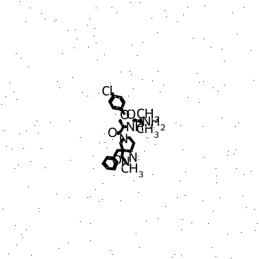 CN1N=C2CCN(C(=O)C(COc3ccc(Cl)cc3)NC(=O)C(C)(C)N)CC2(Cc2ccccc2)C1=O